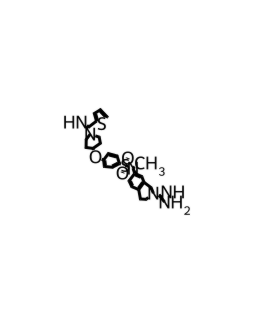 CN(c1ccc2c(c1)CN(C(=N)N)CC2)S(=O)(=O)c1ccc(OC2CCN(C(=N)c3cccs3)CC2)cc1